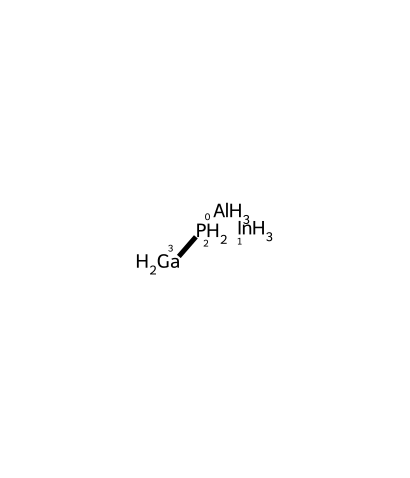 [AlH3].[InH3].[PH2][GaH2]